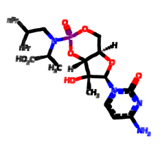 CCCC(CCC)CN([C@@H](C)C(=O)O)P1(=O)OC[C@H]2O[C@@H](n3ccc(N)nc3=O)[C@](C)(O)[C@@H]2O1